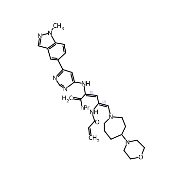 C=CC(=O)NC(=C\N1CCCC(N2CCOCC2)CC1)/C=C(/Nc1cc(-c2ccc3c(cnn3C)c2)ncn1)C(=C)CCC